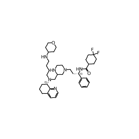 O=C(N[C@@H](CCN1CCNC(CN(CCCCNC2CCOCC2)[C@H]2CCCc3cccnc32)C1)c1ccccc1)C1CCC(F)(F)CC1